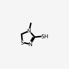 CN1CSN=C1S